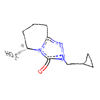 O=C(O)[C@@H]1CCCc2nn(CC3CC3)c(=O)n21